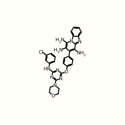 Nc1c(-c2ccc(Oc3nc(Nc4cccc(Cl)c4)nc(N4CCOCC4)n3)cc2)c(N)c2nc3ccccc3n2c1N